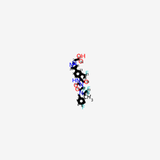 C[C@H](N(Cc1ccc(F)cc1)C(=O)CN1C(=O)N[C@]2(C[C@@H](F)c3cc(-c4cnn(CC(=O)O)c4)ccc32)C1=O)C(F)(F)F